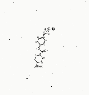 CCCCCCC1CCC(C(=O)Oc2ccc(OC[SiH2]CC)cc2)CC1